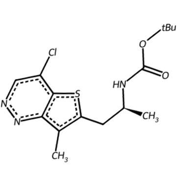 Cc1c(C[C@H](C)NC(=O)OC(C)(C)C)sc2c(Cl)cnnc12